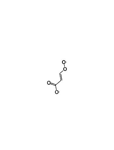 [O]OC=CC([O])=O